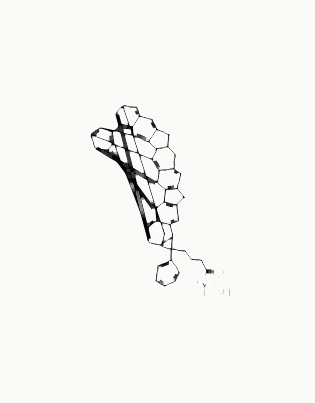 CCCCOC(=O)CCCC1(c2ccccc2)C2c3cc4c5c6c(cc7c8c9c%10c%11c%12c%13c(cc%14c%12c%12c%15c(c%16c3c5c(c%10c86)c%16c%12%11)C21CC%15C=%14)CC(C7)C%139)C4